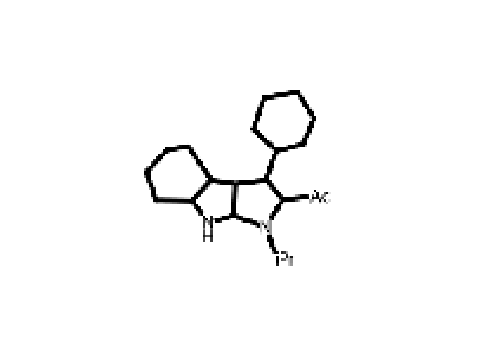 CC(=O)C1C(C2CCCCC2)C2C3CCCCC3NC2N1C(C)C